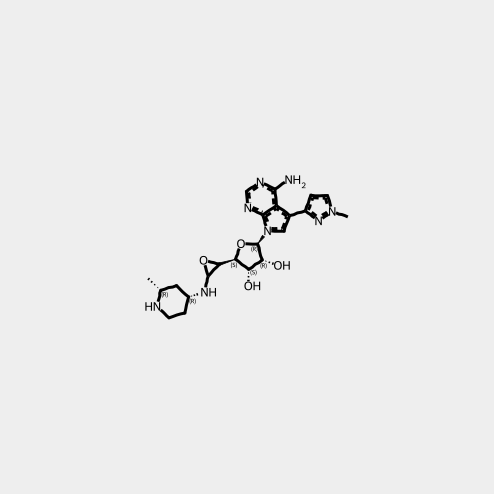 C[C@@H]1C[C@H](NC2OC2[C@H]2O[C@@H](n3cc(-c4ccn(C)n4)c4c(N)ncnc43)[C@H](O)[C@@H]2O)CCN1